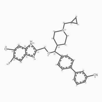 N#Cc1cccc(-c2ccc(C(OCc3nc4cc(F)c(Cl)cc4[nH]3)C3CCN(CC4CC4)CC3)cc2)c1